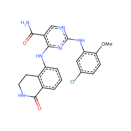 COc1ccc(Cl)cc1Nc1ncc(C(N)=O)c(Nc2cccc3c2CCNC3=O)n1